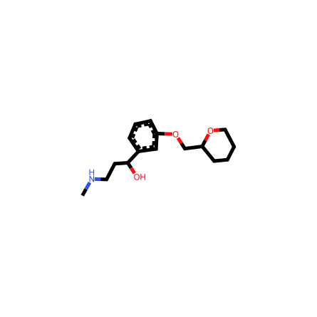 CNCCC(O)c1cccc(OCC2CCCCO2)c1